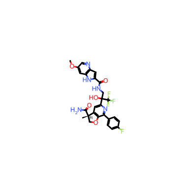 COc1cnc2cc(C(=O)NCC(O)(c3cc4c(c(-c5ccc(F)cc5)n3)OC[C@]4(C)C(N)=O)C(F)(F)F)[nH]c2c1